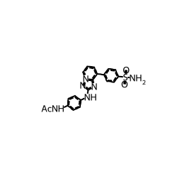 CC(=O)Nc1ccc(Nc2nc3c(-c4ccc(S(N)(=O)=O)cc4)cccn3n2)cc1